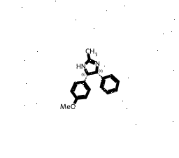 COc1ccc([C@@H]2NC(C)=N[C@@H]2c2ccccc2)cc1